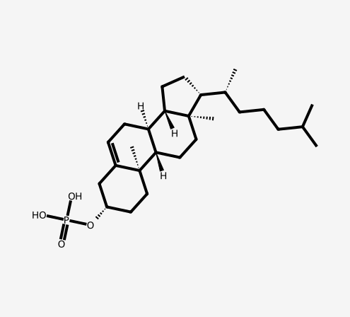 CC(C)CCC[C@@H](C)[C@H]1CC[C@H]2[C@@H]3CC=C4C[C@@H](OP(=O)(O)O)CC[C@]4(C)[C@H]3CC[C@]12C